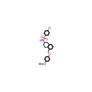 COc1ccc(OCc2cccc3c2CCC(NS(=O)(=O)c2ccc(Cl)cc2)C3)cc1